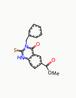 COC(=O)c1ccc2[nH]c(=S)n(Cc3ccccc3)c(=O)c2c1